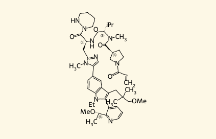 C=CC(=O)N1CC[C@H](C(=O)N(C)[C@H](C(=O)N[C@@H](Cc2ncc(-c3ccc4c(c3)c(CC(C)(C)COC)c(-c3cccnc3[C@H](C)OC)n4CC)n2C)C(=O)N2CCCCN2)C(C)C)C1